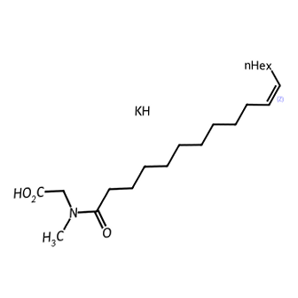 CCCCCC/C=C\CCCCCCCCCC(=O)N(C)CC(=O)O.[KH]